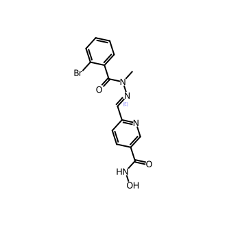 CN(/N=C/c1ccc(C(=O)NO)cn1)C(=O)c1ccccc1Br